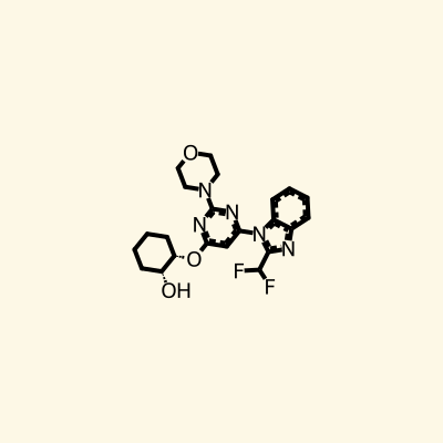 O[C@@H]1CCCC[C@@H]1Oc1cc(-n2c(C(F)F)nc3ccccc32)nc(N2CCOCC2)n1